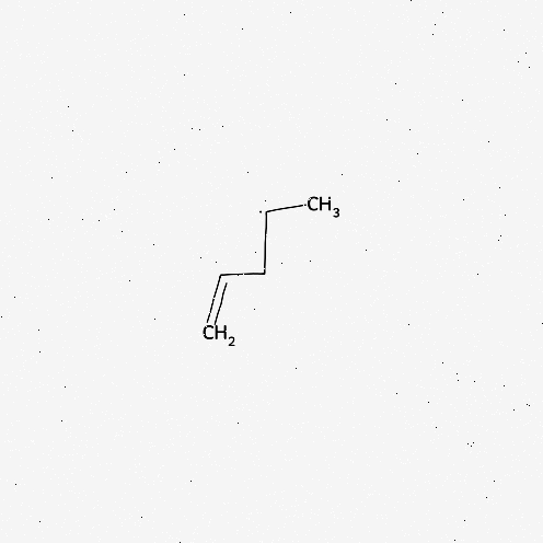 C=CC[CH]C